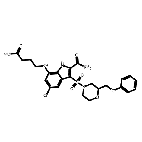 NC(=O)c1[nH]c2c(NCCCC(=O)O)cc(Cl)cc2c1S(=O)(=O)N1CCOC(COc2ccccc2)C1